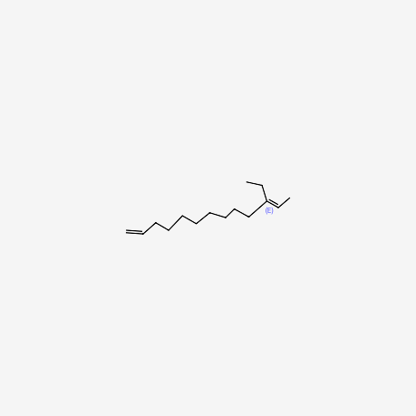 C=CCCCCCCCC/C(=C/C)CC